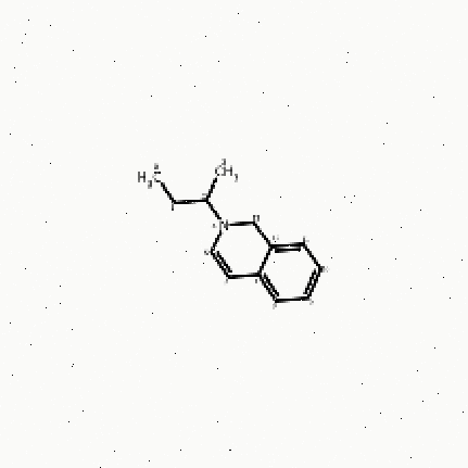 CCC(C)N1C=Cc2ccccc2C1